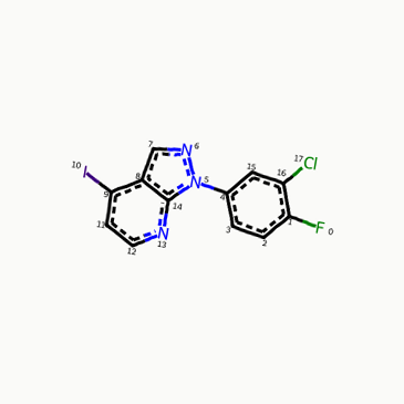 Fc1ccc(-n2ncc3c(I)ccnc32)cc1Cl